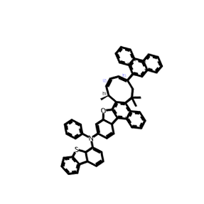 C[C@H]1/C=C\C=C(\c2cc3ccccc3c3ccccc23)CC(C)(C)c2c1c1c(c3ccccc23)C2C=CC(N(C3=CC=CC4c5ccccc5SC34)c3ccccc3)=CC2O1